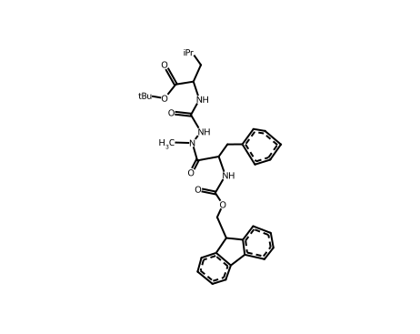 CC(C)CC(NC(=O)NN(C)C(=O)C(Cc1ccccc1)NC(=O)OCC1c2ccccc2-c2ccccc21)C(=O)OC(C)(C)C